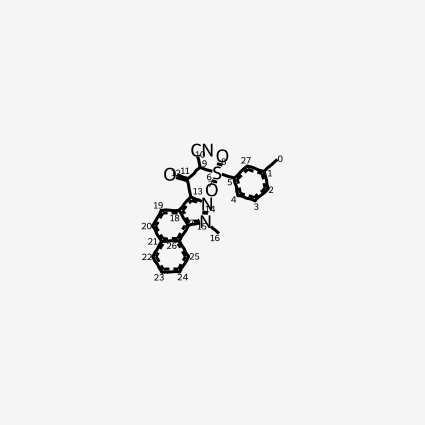 Cc1cccc(S(=O)(=O)C(C#N)C(=O)c2nn(C)c3c2ccc2ccccc23)c1